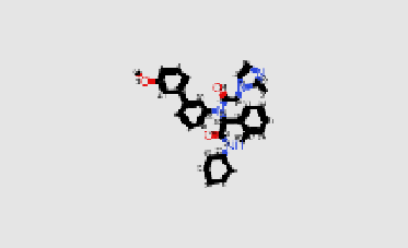 COc1cccc(-c2cccc(N(C(=O)Cn3ccnc3C)C(C(=O)NC3CCCCC3)c3ccccc3C)c2)c1